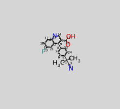 CC(C)(C#N)c1ccc(-c2c(C(=O)O)cnc3ccc(F)cc23)cc1